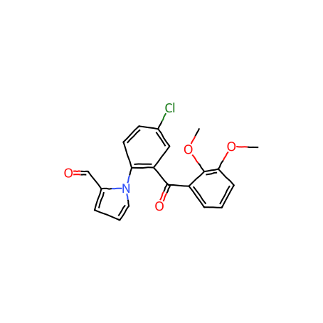 COc1cccc(C(=O)c2cc(Cl)ccc2-n2cccc2C=O)c1OC